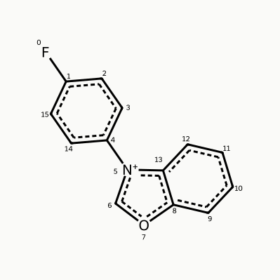 Fc1ccc(-[n+]2coc3ccccc32)cc1